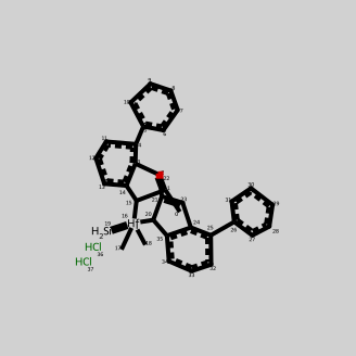 CC1=Cc2c(-c3ccccc3)cccc2[CH]1[Hf]([CH3])([CH3])(=[SiH2])[CH]1C(C)=Cc2c(-c3ccccc3)cccc21.Cl.Cl